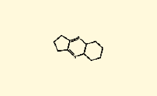 C1CC2=NC3CCCCC3N=C2C1